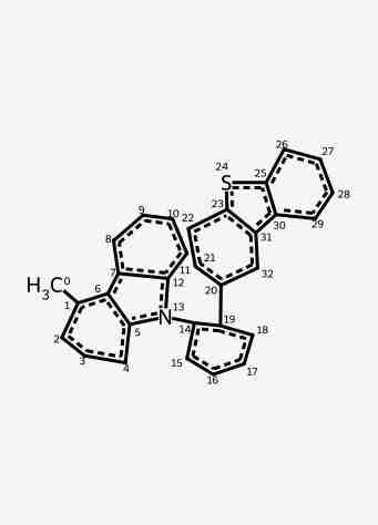 Cc1cccc2c1c1ccccc1n2-c1ccccc1-c1ccc2sc3ccccc3c2c1